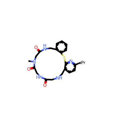 CC(C)c1ccc2c(n1)Sc1ccccc1CNC(=O)CN(C)C(=O)CNC(=O)CNC2